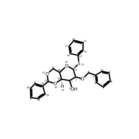 OC1C(OCc2ccccc2)[C@H](Sc2ccccc2)OC2COC(c3ccccc3)O[C@@H]21